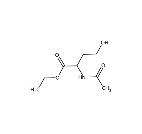 CCOC(=O)C(CCO)NC(C)=O